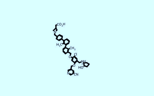 Cc1c(COc2cc(OCc3cncc(C#N)c3)c(CN[C@@H]3CCC[C@@H]3O)cc2Cl)cccc1-c1cccc(-c2ccc(CN3CC(CC(=O)O)C3)cc2)c1C